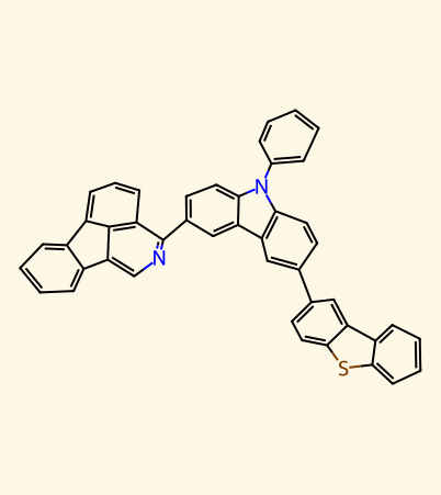 c1ccc(-n2c3ccc(-c4ccc5sc6ccccc6c5c4)cc3c3cc(-c4ncc5c6c(cccc46)-c4ccccc4-5)ccc32)cc1